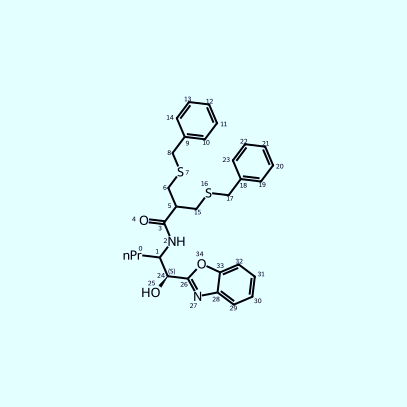 CCCC(NC(=O)C(CSCc1ccccc1)CSCc1ccccc1)[C@H](O)c1nc2ccccc2o1